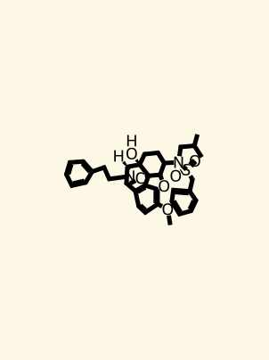 COc1ccc2c3c1OC1C(N(CC(C)C)S(=O)(=O)Cc4ccccc4)CC[C@@]4(O)[C@@H](C2)N(CCc2ccccc2)CC[C@]314